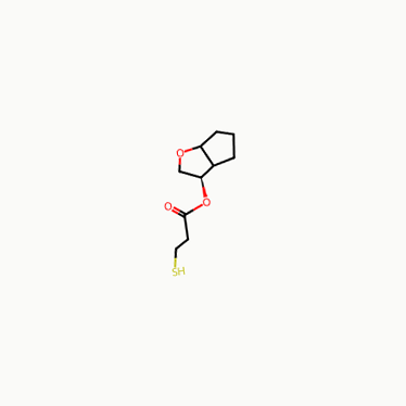 O=C(CCS)O[C@H]1COC2CCCC21